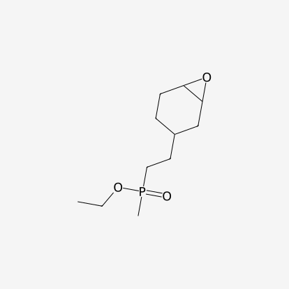 CCOP(C)(=O)CCC1CCC2OC2C1